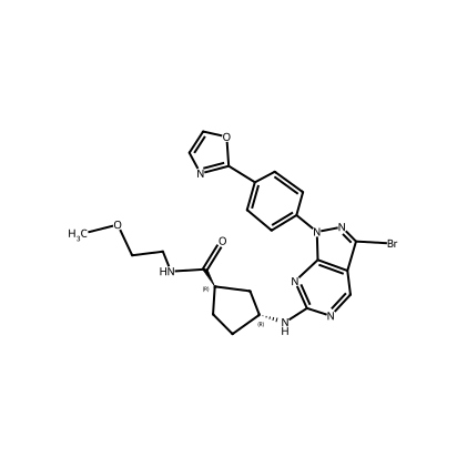 COCCNC(=O)[C@@H]1CC[C@@H](Nc2ncc3c(Br)nn(-c4ccc(-c5ncco5)cc4)c3n2)C1